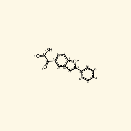 O=C(S)C(=O)c1ccc2oc(-c3ccccc3)cc2c1